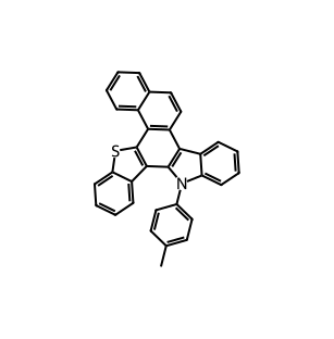 Cc1ccc(-n2c3ccccc3c3c4ccc5ccccc5c4c4sc5ccccc5c4c32)cc1